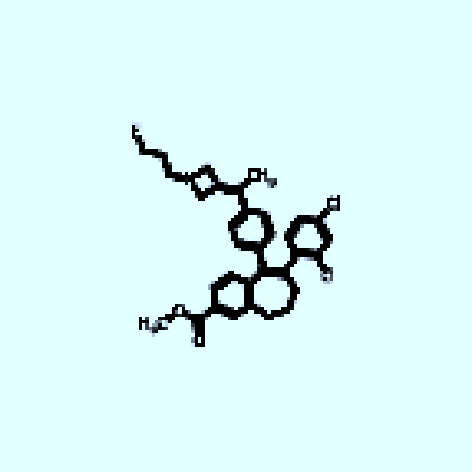 COC(=O)c1ccc2c(c1)CCCC(c1ccc(Cl)cc1Cl)=C2c1ccc(C(C)=C2CN(CCCF)C2)cc1